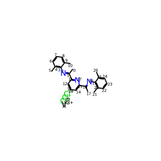 CC(=Nc1c(C)cccc1C)c1cccc(C(C)=Nc2c(C)cccc2C)n1.[Cl-].[Cl-].[Cl-].[V+3]